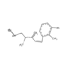 C=C(/C=C\c1cccc(CCC)c1C)C(C)CNC(C)(C)C